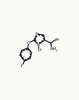 CCn1c(C(N)C(C)C)cnc1Oc1ccc(F)cc1